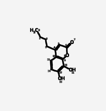 CCCCc1cc(=O)oc2c(O)c(O)ccc12